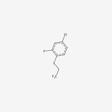 Fc1cc(Cl)[c]cc1SCC(F)(F)F